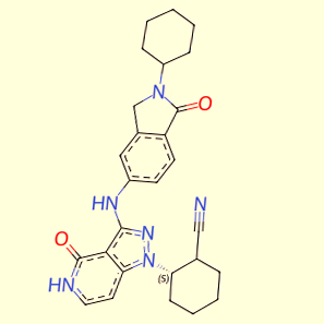 N#CC1CCCC[C@@H]1n1nc(Nc2ccc3c(c2)CN(C2CCCCC2)C3=O)c2c(=O)[nH]ccc21